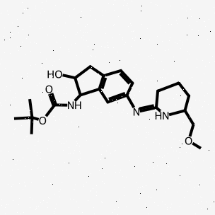 COCC1CCC/C(=N\c2ccc3c(c2)C(NC(=O)OC(C)(C)C)C(O)C3)N1